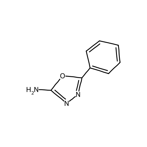 Nc1nnc(-c2ccccc2)o1